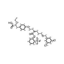 CCOC(Cc1ccc(OCCN(CCCOCc2cc(Cl)cc(Cl)c2)C(=O)Oc2ccccc2C(F)(F)F)cc1)C(=O)O